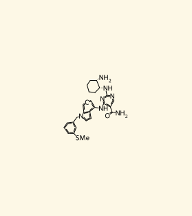 CSc1cccc(Cn2ccc3c(Nc4nc(N[C@@H]5CCCC[C@@H]5N)ncc4C(N)=O)cccc32)c1